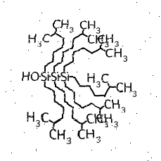 CC(C)CCCCC[Si](O)(CCCCCC(C)C)[Si](CCCCCC(C)C)(CCCCCC(C)C)[Si](CCCCCC(C)C)(CCCCCC(C)C)CCCCCC(C)C